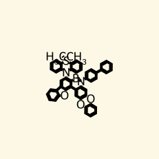 CS1(C)c2ccccc2N2c3cc4c(oc5ccccc54)c4c3B(c3cccc1c32)N(c1ccc(-c2ccccc2)cc1)c1cc2c(cc1-4)Oc1ccccc1O2